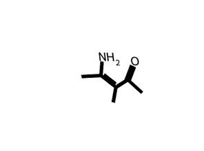 CC(=O)/C(C)=C(/C)N